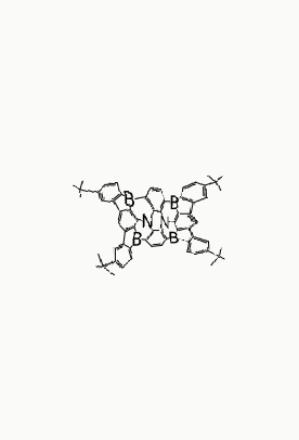 CC(C)(C)c1ccc2c(c1)-c1cc3c4c5c1B2c1ccc2c6c1N5c1c(ccc5c1N6c1c6c(cc7c1B5c1ccc(C(C)(C)C)cc1-7)-c1cc(C(C)(C)C)ccc1B26)B4c1ccc(C(C)(C)C)cc1-3